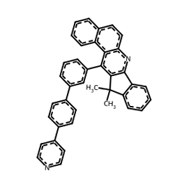 CC1(C)c2ccccc2-c2nc3ccc4ccccc4c3c(-c3cccc(-c4ccc(-c5ccncc5)cc4)c3)c21